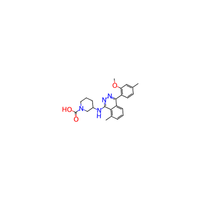 COc1cc(C)ccc1-c1nnc(NC2CCCN(C(=O)O)C2)c2c(C)cccc12